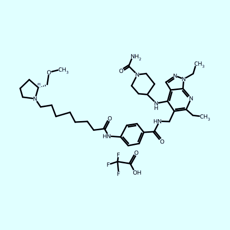 CCc1nc2c(cnn2CC)c(NC2CCN(C(N)=O)CC2)c1CNC(=O)c1ccc(NC(=O)CCCCCCCN2CCC[C@@H]2COC)cc1.O=C(O)C(F)(F)F